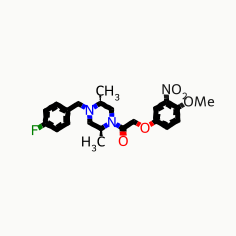 COc1ccc(OCC(=O)N2C[C@@H](C)N(Cc3ccc(F)cc3)C[C@@H]2C)cc1[N+](=O)[O-]